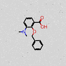 CN(C)c1cccc(C(=O)O)c1OCc1ccccc1